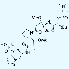 CC[C@H](C)[C@@H]([C@@H](CC(=O)N1CCC[C@H]1[C@H](OC)[C@@H](C)C(=O)N[C@H](COP(=O)(O)O)Cc1cccs1)OC)N(C)C(=O)[C@@H](NC(=O)C(C)(C)N(C)C)C(C)(C)C